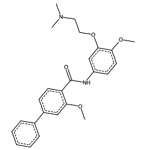 COc1ccc(NC(=O)c2ccc(-c3ccccc3)cc2OC)cc1OCCN(C)C